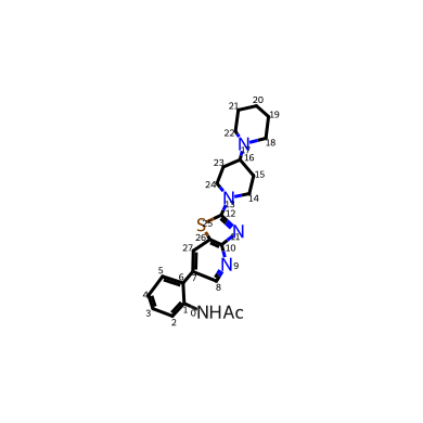 CC(=O)Nc1ccccc1-c1cnc2nc(N3CCC(N4CCCCC4)CC3)sc2c1